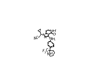 N#CCC(C1CC1)n1nc(Nc2ccc(C3(C(F)(F)F)CCCCN3)cc2)c2c(=O)[nH]ccc21